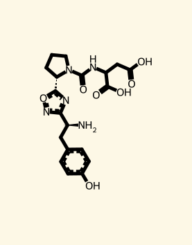 N[C@@H](Cc1ccc(O)cc1)c1noc([C@@H]2CCCN2C(=O)NC(CC(=O)O)C(=O)O)n1